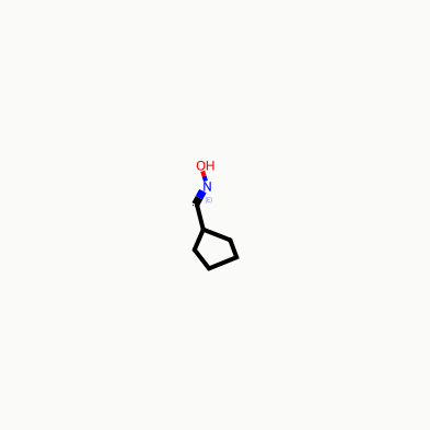 O/N=[C]/C1CCCC1